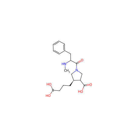 CNC(Cc1ccccc1)C(=O)N1CC(C(=O)O)[C@@H](CCCB(O)O)C1